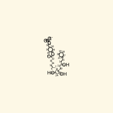 O=C(CCC/C=C\C[C@@H]1[C@@H](CC[C@@H](O)CCc2ccccc2)[C@H](O)C[C@@H]1O)Oc1ccc(CO[N+](=O)[O-])cc1